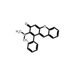 CN(C)c1c(-c2ccccc2)c2cc3ccccc3oc-2cc1=O